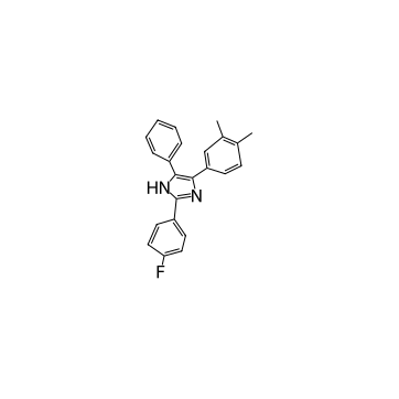 Cc1ccc(-c2nc(-c3ccc(F)cc3)[nH]c2-c2ccccc2)cc1C